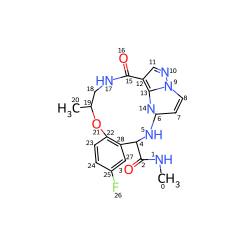 CNC(=O)C1Nc2ccn3ncc(c3n2)C(=O)NCC(C)Oc2ccc(F)cc21